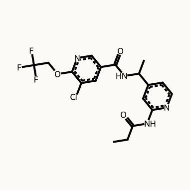 CCC(=O)Nc1cc(C(C)NC(=O)c2cnc(OCC(F)(F)F)c(Cl)c2)ccn1